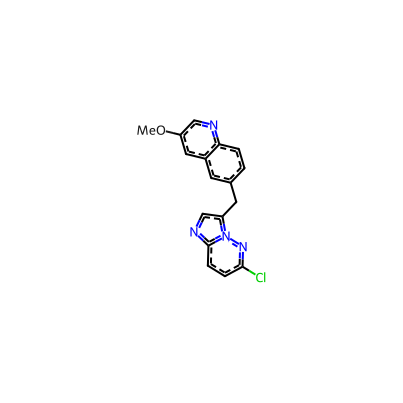 COc1cnc2ccc(Cc3cnc4ccc(Cl)nn34)cc2c1